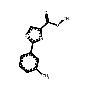 COC(=O)c1coc(-c2cccc(C)c2)n1